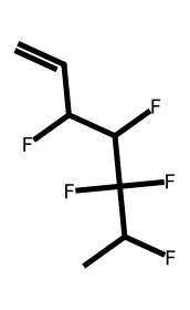 C=CC(F)C(F)C(F)(F)C(C)F